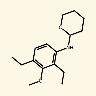 CCc1ccc(NC2CCCCO2)c(CC)c1OC